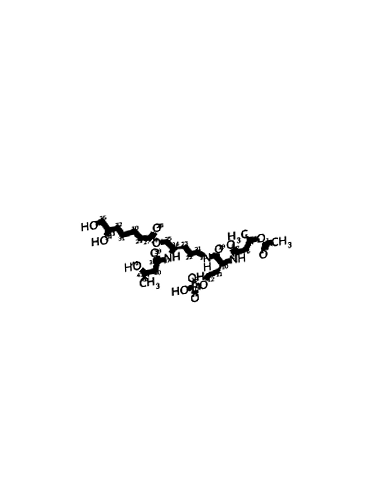 CC(=O)O[C@H](C)CC(=O)N[C@@H](CCOP(=O)(O)O)C(=O)NCCC[C@H](COC(=O)CCCCC(O)CO)NC(=O)C[C@@H](C)O